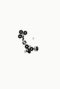 CC1(C)OB(c2ccc3c(c2)Oc2cc(N4CCN(CCCC[P+](c5ccccc5)(c5ccccc5)c5ccccc5)CC4)ccc2C32OC(=O)c3ccccc32)OC1(C)C.[I-]